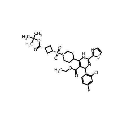 CCOC(=O)C1=C(C2CCN(S(=O)(=O)[C@H]3C[C@@H](C(=O)OC(C)(C)C)C3)CC2)NC(c2nccs2)=NC1c1ccc(F)cc1Cl